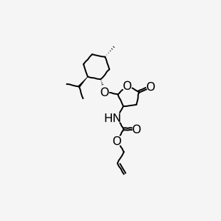 C=CCOC(=O)NC1CC(=O)OC1O[C@H]1C[C@@H](C)CC[C@@H]1C(C)C